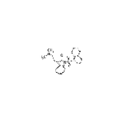 CN(C)CCn1c(=O)n(S(=O)(=O)c2cccc3ccccc23)c2ccccc21